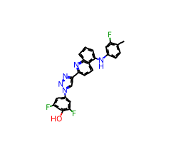 Cc1ccc(Nc2cccc3nc(-c4cn(-c5cc(F)c(O)c(F)c5)nn4)ccc23)cc1F